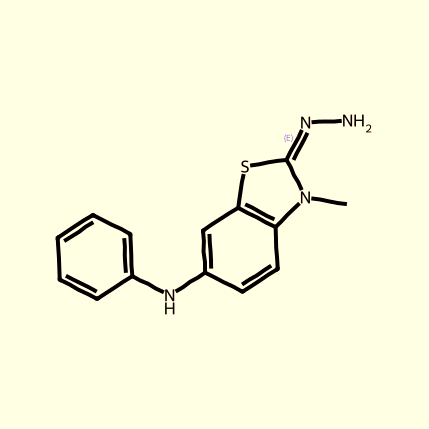 Cn1/c(=N\N)sc2cc(Nc3ccccc3)ccc21